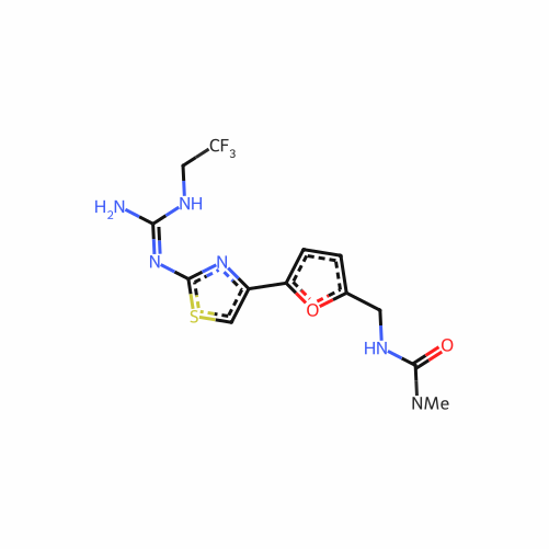 CNC(=O)NCc1ccc(-c2csc(N=C(N)NCC(F)(F)F)n2)o1